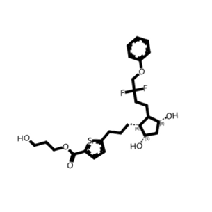 O=C(OCCCO)c1ccc(CCC[C@@H]2C(CCC(F)(F)COc3ccccc3)[C@H](O)C[C@@H]2O)s1